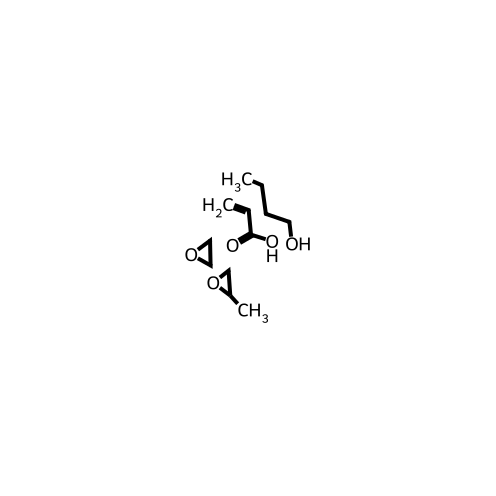 C1CO1.C=CC(=O)O.CC1CO1.CCCCO